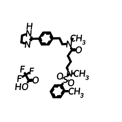 Cc1ccccc1S(=O)(=O)N(C)CCCC(=O)N(C)CCc1ccc(C2=NCCN2)cc1.O=C(O)C(F)(F)F